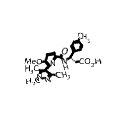 COc1ccc(C(=O)N[C@@H](CC(=O)O)c2ccc(C)cc2)nc1-c1c(C)nn(C)c1C